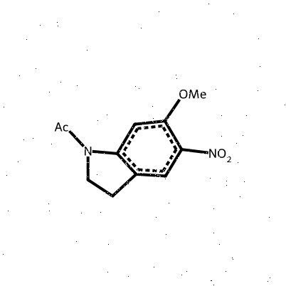 COc1cc2c(cc1[N+](=O)[O-])CCN2C(C)=O